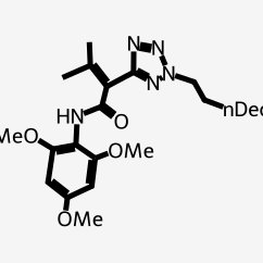 CCCCCCCCCCCCn1nnc(C(C(=O)Nc2c(OC)cc(OC)cc2OC)=C(C)C)n1